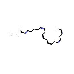 CC/C=C\C/C=C\C/C=C\C/C=C\C/C=C\CCC/C=C/C(=O)OC(C)(C)C